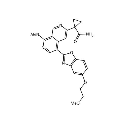 CNc1ncc(-c2nc3cc(OCCOC)ccc3o2)c2cc(C3(C(N)=O)CC3)ncc12